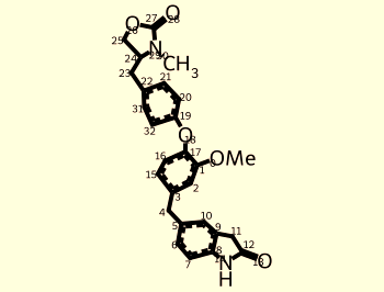 COc1cc(Cc2ccc3c(c2)CC(=O)N3)ccc1Oc1ccc(CC2COC(=O)N2C)cc1